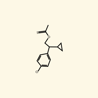 CC(=S)OCC(c1ccc(Cl)cc1)C1CC1